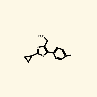 O=C(O)Cc1nc(C2CC2)sc1-c1ccc(F)cc1